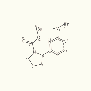 CC(C)Nc1nccc(C2CCCN2C(=O)OC(C)(C)C)n1